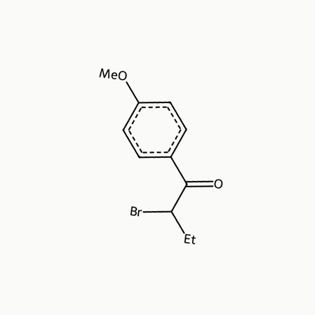 CCC(Br)C(=O)c1ccc(OC)cc1